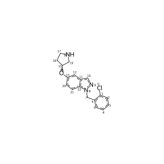 Clc1ccccc1Cn1ncc2cc(O[C@H]3CCNC3)ccc21